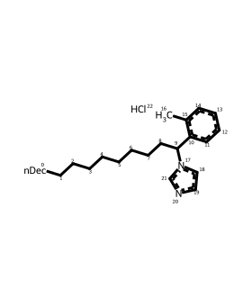 CCCCCCCCCCCCCCCCCCC(c1ccccc1C)n1ccnc1.Cl